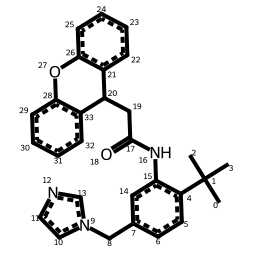 CC(C)(C)c1ccc(Cn2ccnc2)cc1NC(=O)CC1c2ccccc2Oc2ccccc21